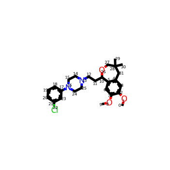 COc1cc2c(cc1OC)C(CCN1CCN(c3cccc(Cl)c3)CC1)OCC(C)(C)C2